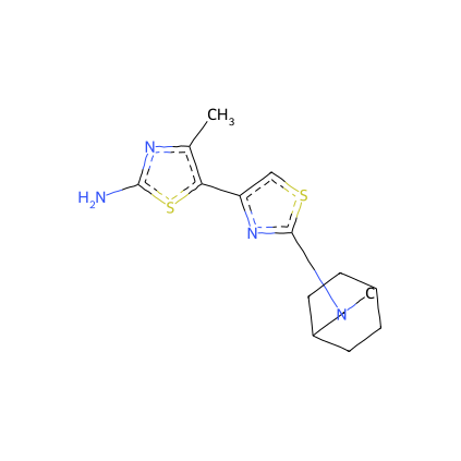 Cc1nc(N)sc1-c1csc(N2CC3CCC(CC3)C2)n1